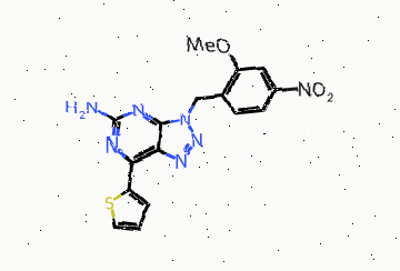 COc1cc([N+](=O)[O-])ccc1Cn1nnc2c(-c3cccs3)nc(N)nc21